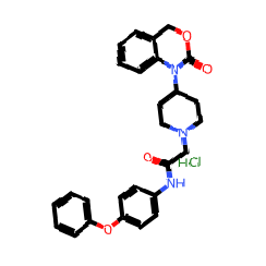 Cl.O=C(CN1CCC(N2C(=O)OCc3ccccc32)CC1)Nc1ccc(Oc2ccccc2)cc1